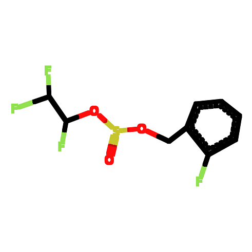 O=S(OCc1ccccc1F)OC(F)C(F)F